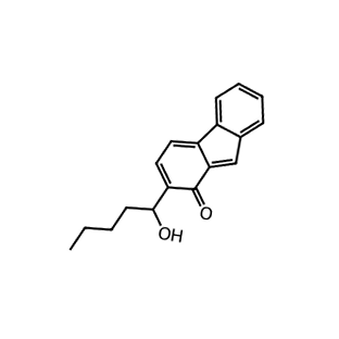 CCCCC(O)C1=CC=C2C(=Cc3ccccc32)C1=O